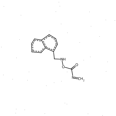 C=NC(=O)ONCc1cccc2ccccc12